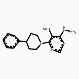 COc1c(NN)ncnc1N1CCC(c2ccccc2)CC1